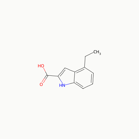 CCc1cccc2[nH]c(C(=O)O)cc12